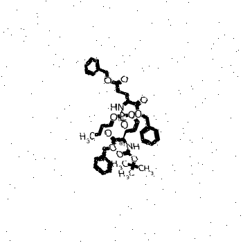 CCCCO[P@@](=O)(NC(CCC(=O)OCc1ccccc1)C(=O)OCc1ccccc1)OCCC[C@@H](NC(=O)OC(C)(C)C)C(=O)OCc1ccccc1